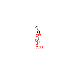 C=CC(O)OCCOC(=O)CCCC(=O)Oc1ccc(-c2ccccc2)cc1